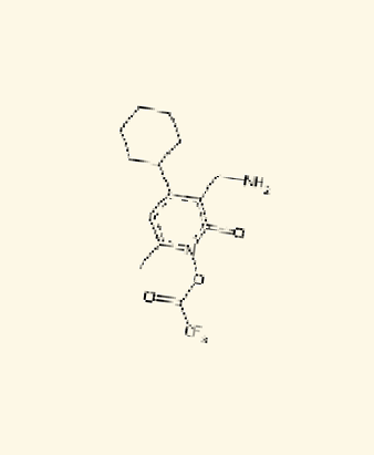 Cc1cc(C2CCCCC2)c(CN)c(=O)n1OC(=O)C(F)(F)F